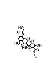 NC(=O)C1=C(O)C[C@@H]2C[C@@H]3Cc4c(/C=C(\Cl)CO)ccc(O)c4C(=O)C3=C(O)[C@]2(O)C1=O